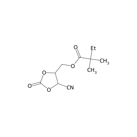 CCC(C)(C)C(=O)OCC1OC(=O)OC1C#N